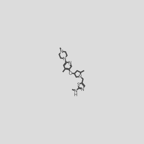 CNc1ncc(CN2CC(Oc3cnc(N4CCN(C)CC4)cc3C)CC2C)s1